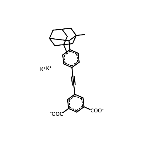 CC12CC3CC(C1)C(c1ccc(C#Cc4cc(C(=O)[O-])cc(C(=O)[O-])c4)cc1)C(C)(C3)C2.[K+].[K+]